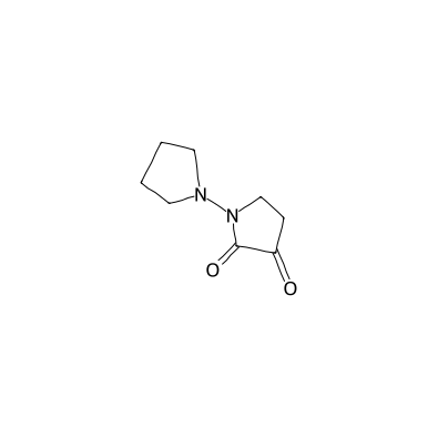 O=C1CCN(N2CCCC2)C1=O